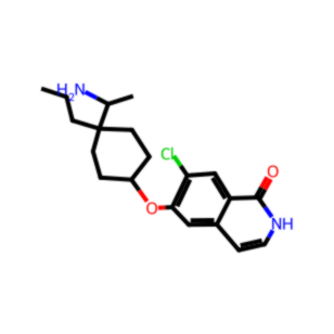 CCCC1(C(C)N)CCC(Oc2cc3cc[nH]c(=O)c3cc2Cl)CC1